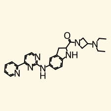 CCN(CC)C1CN(C(=O)C2Cc3cc(Nc4nccc(-c5ccccn5)n4)ccc3N2)C1